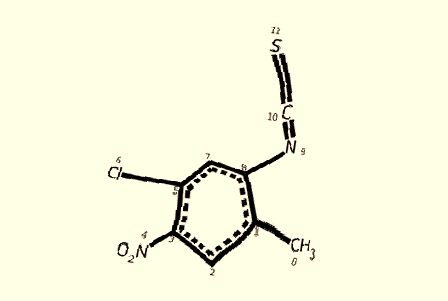 Cc1cc([N+](=O)[O-])c(Cl)cc1N=C=S